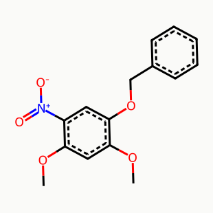 COc1cc(OC)c([N+](=O)[O-])cc1OCc1ccccc1